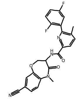 Cc1ccc(C(=O)NC2COc3cc(C#N)ccc3N(C)C2=O)nc1-c1cc(F)ccc1F